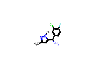 Cc1cc(C(N)c2ccc(F)c(Cl)c2)n(C)n1